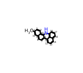 Cc1ccc2c3c(ccc2c1)-c1cccc2cccc(c12)N3